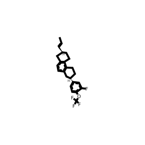 CC=C[C@H]1CCc2c(ccc3c2CC[C@H](c2ccc(OC(F)(F)F)c(F)c2)C3)C1